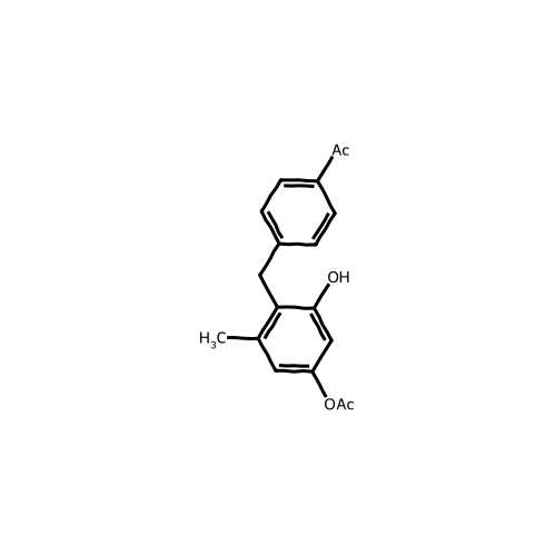 CC(=O)Oc1cc(C)c(Cc2ccc(C(C)=O)cc2)c(O)c1